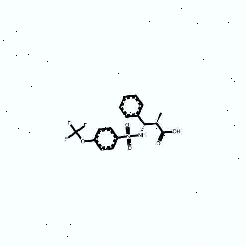 C[C@@H](C(=O)O)[C@H](NS(=O)(=O)c1ccc(OC(F)(F)F)cc1)c1ccccc1